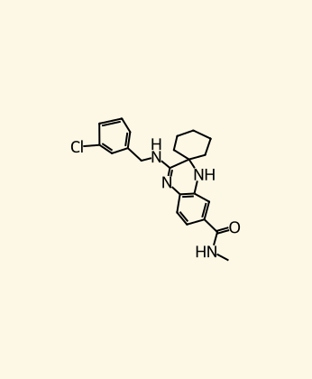 CNC(=O)c1ccc2c(c1)NC1(CCCCC1)C(NCc1cccc(Cl)c1)=N2